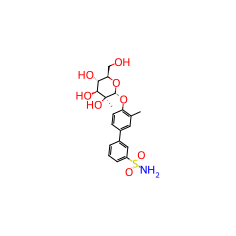 Cc1cc(-c2cccc(S(N)(=O)=O)c2)ccc1O[C@H]1O[C@H](CO)[C@@H](O)[C@H](O)[C@]1(C)O